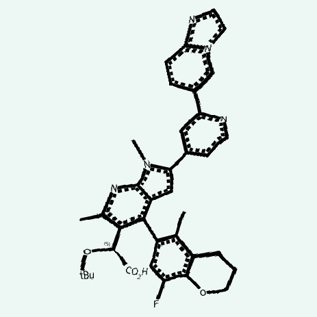 Cc1nc2c(cc(-c3ccnc(-c4ccc5nccn5c4)c3)n2C)c(-c2cc(F)c3c(c2C)CCCO3)c1[C@H](OC(C)(C)C)C(=O)O